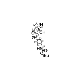 CN1[C@H]2CC[C@@H]1[C@@H](C(=O)OC(=O)c1ccc(CNC(=O)OC(C)(C)C)cc1)[C@@H](O)C2